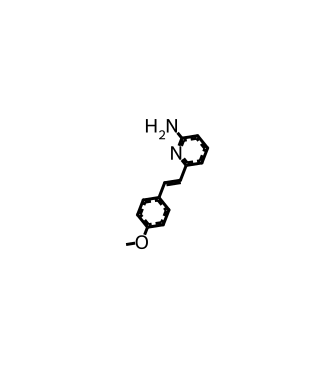 COc1ccc(C=Cc2cccc(N)n2)cc1